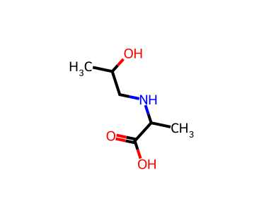 CC(O)CNC(C)C(=O)O